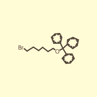 BrCCCCCCOC(c1ccccc1)(c1ccccc1)c1ccccc1